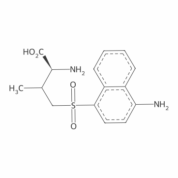 CC(CS(=O)(=O)c1ccc(N)c2ccccc12)[C@H](N)C(=O)O